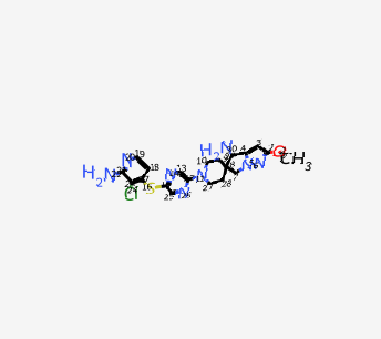 COc1cc2n(n1)CC1(CCN(c3cnc(Sc4ccnc(N)c4Cl)cn3)CC1)[C@@H]2N